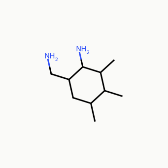 CC1CC(CN)C(N)C(C)C1C